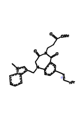 CCC/C=C/c1ccc2c(c1)C(=O)N(CCC(=O)OC)C(=O)CN2Cc1cn(C)c2ccccc12